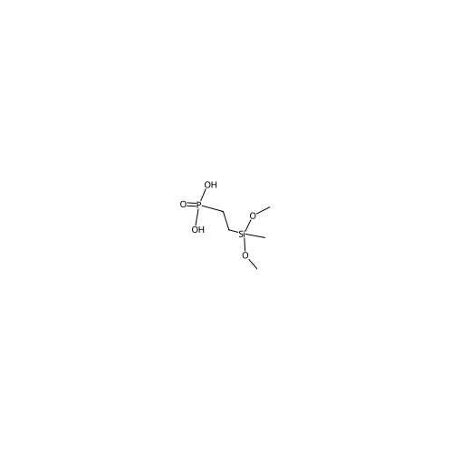 CO[Si](C)(CCP(=O)(O)O)OC